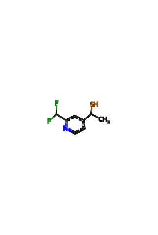 CC(S)c1ccnc(C(F)F)c1